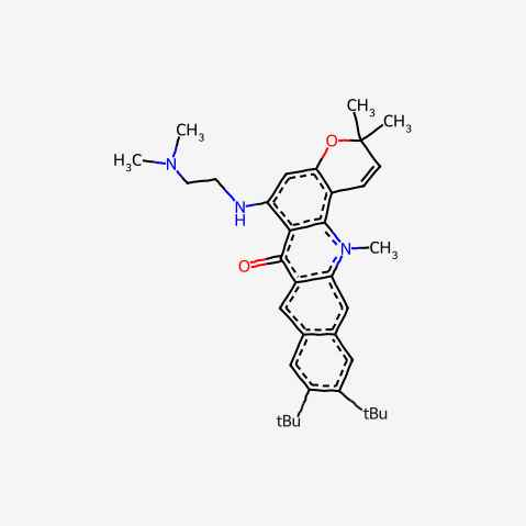 CN(C)CCNc1cc2c(c3c1c(=O)c1cc4cc(C(C)(C)C)c(C(C)(C)C)cc4cc1n3C)C=CC(C)(C)O2